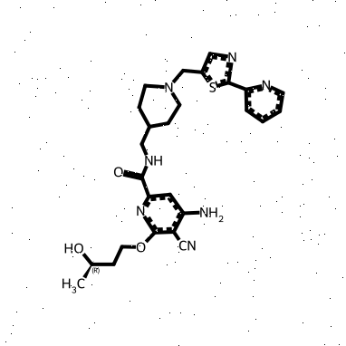 C[C@@H](O)CCOc1nc(C(=O)NCC2CCN(Cc3cnc(-c4ccccn4)s3)CC2)cc(N)c1C#N